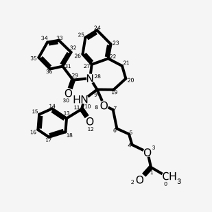 CC(=O)OCCCCOC1(NC(=O)c2ccccc2)CCCc2ccccc2N1C(=O)c1ccccc1